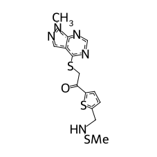 CSNCc1ccc(C(=O)CSc2ncnc3c2cnn3C)s1